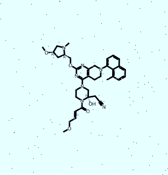 COC/C=C/C(=O)N1CCN(c2nc(OC[C@H]3C[C@@H](OC)CN3C)nc3c2CCN(c2cccc4cccc(C)c24)C3)C[C@@]1(O)CC#N